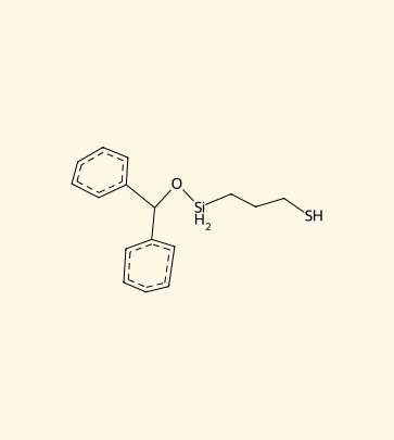 SCCC[SiH2]OC(c1ccccc1)c1ccccc1